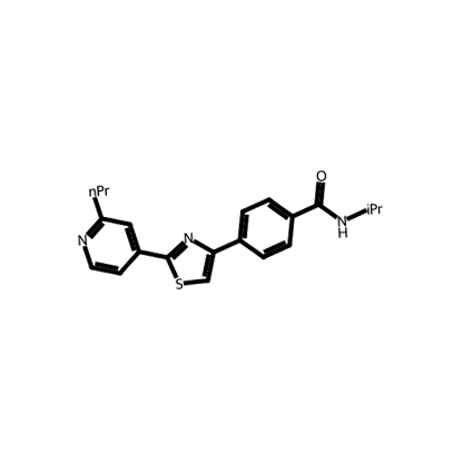 CCCc1cc(-c2nc(-c3ccc(C(=O)NC(C)C)cc3)cs2)ccn1